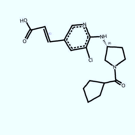 O=C(O)/C=C/c1cnc(N[C@@H]2CCN(C(=O)C3CCCC3)C2)c(Cl)c1